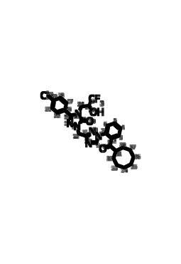 O=C(c1ccccc1-n1cnc(Cn2nc(-c3ccc(Cl)cc3)n(C[C@H](O)C(F)(F)F)c2=O)n1)C1CCCCCCC1